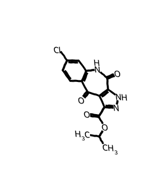 CC(C)OC(=O)c1n[nH]c2c(=O)[nH]c3cc(Cl)ccc3c(=O)c12